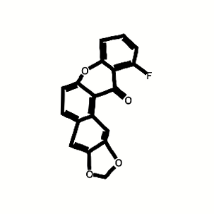 O=c1c2c(F)cccc2oc2ccc3cc4c(cc3c12)OCO4